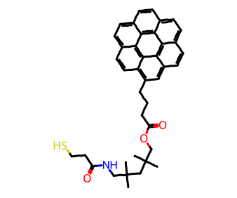 CC(C)(CNC(=O)CCS)CC(C)(C)COC(=O)CCCc1cc2ccc3ccc4ccc5ccc6ccc1c1c6c5c4c3c21